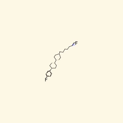 F/C=C/CCCCC[C@H]1CC[C@H]([C@H]2CC[C@H](c3ccc(F)cc3)CC2)CC1